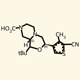 Cc1c([C@@H]2CN3CCN(C(=O)O)C[C@H]3C(C(C)(C)C)O2)csc1C#N